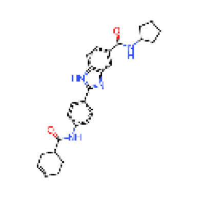 O=C(NC1CCCC1)c1ccc2[nH]c(-c3ccc(NC(=O)C4CC=CCC4)cc3)nc2c1